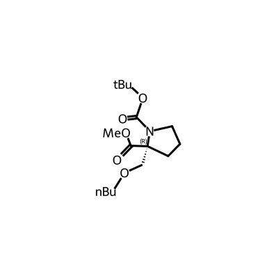 CCCCOC[C@@]1(C(=O)OC)CCCN1C(=O)OC(C)(C)C